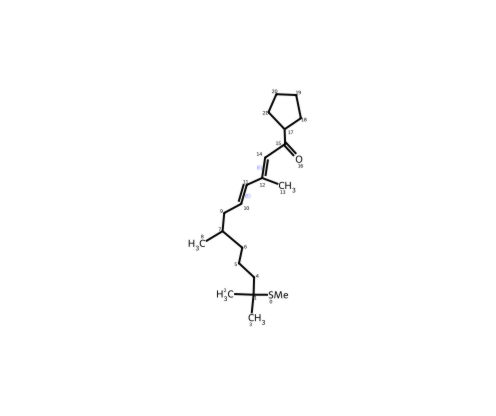 CSC(C)(C)CCCC(C)C/C=C/C(C)=C/C(=O)C1CCCC1